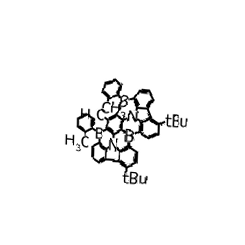 Cc1ccccc1B1c2c(C)c3c4c5c2-n2c6c1cccc6c1c(C(C)(C)C)ccc(c12)B5c1ccc(C(C)(C)C)c2c5cccc(c5n-4c12)B3c1ccccc1C